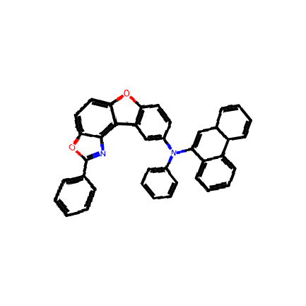 C1=CC2C=C(N(c3ccccc3)c3ccc4oc5ccc6oc(-c7ccccc7)nc6c5c4c3)c3ccccc3C2C=C1